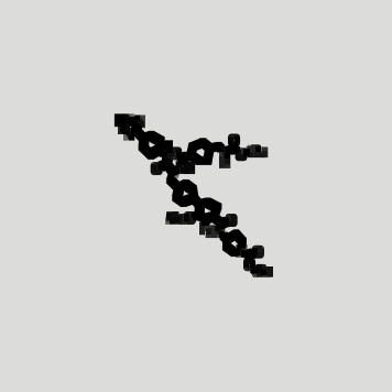 COc1c(-c2ccc(C[C@H](NC(=O)C3CCC(CNC(=O)OC(C)(C)C)CC3)C(=O)Nc3ccc(-c4nn[nH]n4)cc3)cc2)ccc(C(=O)NC2CCN(C(=O)OC(C)(C)C)CC2)c1F